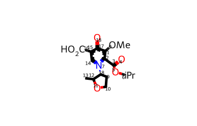 COc1c(C(=O)OC(C)C)n([C@@H]2CCOC2C)cc(C(=O)O)c1=O